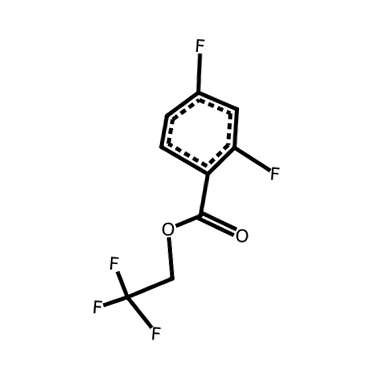 O=C(OCC(F)(F)F)c1ccc(F)cc1F